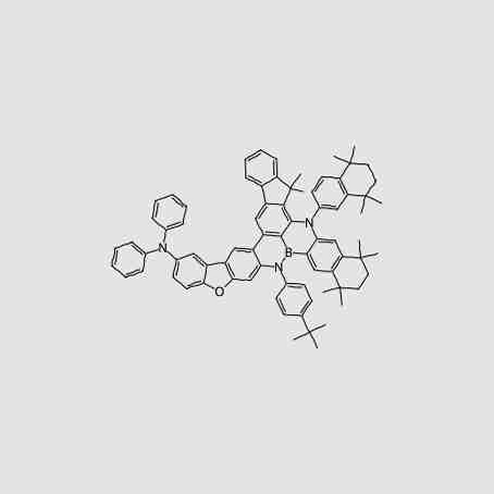 CC(C)(C)c1ccc(N2B3c4cc5c(cc4N(c4ccc6c(c4)C(C)(C)CCC6(C)C)c4c3c(cc3c4C(C)(C)c4ccccc4-3)-c3cc4c(cc32)oc2ccc(N(c3ccccc3)c3ccccc3)cc24)C(C)(C)CCC5(C)C)cc1